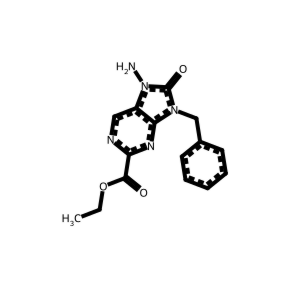 CCOC(=O)c1ncc2c(n1)n(Cc1ccccc1)c(=O)n2N